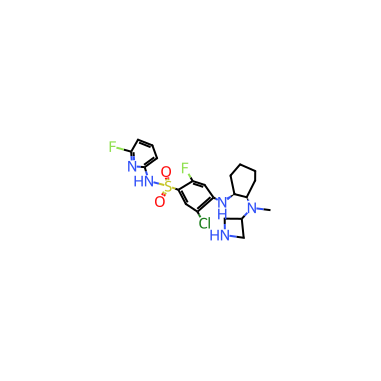 CN(C1CNC1)[C@H]1CCCC[C@@H]1Nc1cc(F)c(S(=O)(=O)Nc2cccc(F)n2)cc1Cl